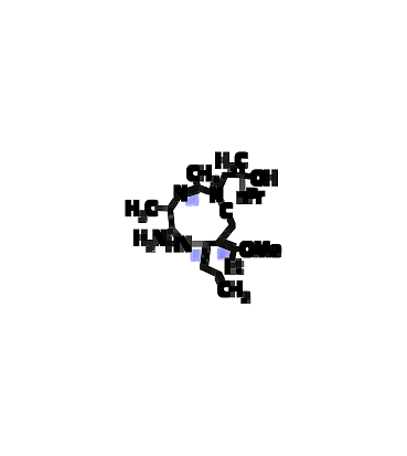 C=C/C=C1/NC(N)C(C)/N=C(/C)N(CC(C)(O)CCC)CC/C1=C(/CC)OC